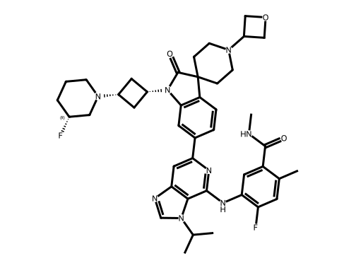 CNC(=O)c1cc(Nc2nc(-c3ccc4c(c3)N([C@H]3C[C@@H](N5CCC[C@@H](F)C5)C3)C(=O)C43CCN(C4COC4)CC3)cc3ncn(C(C)C)c23)c(F)cc1C